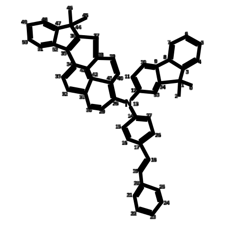 CC1(C)c2ccccc2-c2ccc(N(c3ccc(/C=C/c4ccccc4)cc3)c3ccc4ccc5c6c(cc7ccc3c4c75)C(C)(C)c3ccccc3-6)cc21